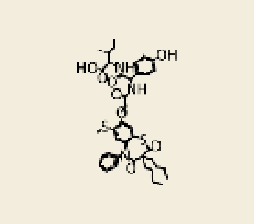 CCCCC1(CCCC)C(=O)Sc2cc(OCC(=O)NC(C(=O)N[C@@H](C(=O)O)[C@@H](C)CC)c3ccc(O)cc3)c(SC)cc2N(c2ccccc2)C1=O